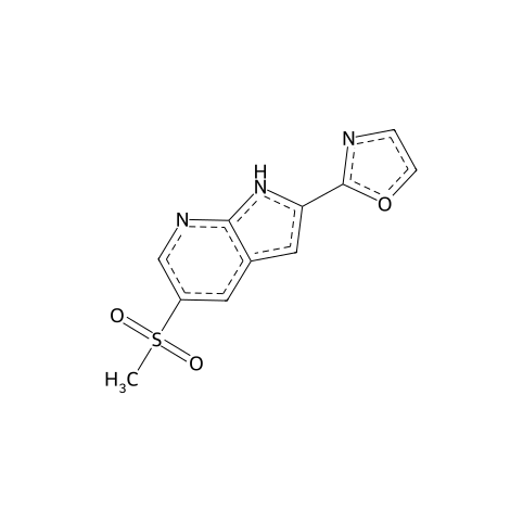 CS(=O)(=O)c1cnc2[nH]c(-c3ncco3)cc2c1